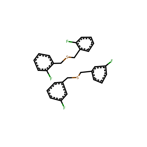 Fc1cccc(CSCc2cccc(F)c2)c1.Fc1ccccc1CSCc1ccccc1F